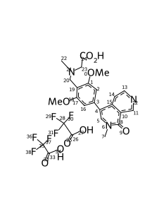 COc1cc(-c2cn(C)c(=O)c3cnccc23)cc(OC)c1CN(C)CC(=O)O.O=C(O)C(F)(F)F.O=C(O)C(F)(F)F